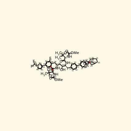 COC(=O)N[C@H](C(=O)N[C@@H](Cc1ccc(-c2cnc(N3CC4CCC(C3)N4C3COC3)nc2)cc1)[C@@H](O)CN(Cc1c(F)cc(-c2ccn(C(F)F)n2)cc1F)NC(=O)[C@@H](NC(=O)OC)C(C)(C)C(F)(F)F)C(C)(C)C(F)(F)F